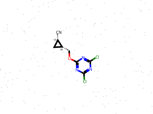 N#C[C@H]1C[C@H]1COc1nc(Cl)nc(Cl)n1